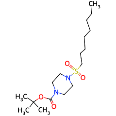 CCCCCCCCS(=O)(=O)N1CCN(C(=O)OC(C)(C)C)CC1